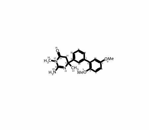 COc1ccc(OC)c(-c2cccc(C3(C)CC(=O)N(C)C(N)=N3)c2)c1